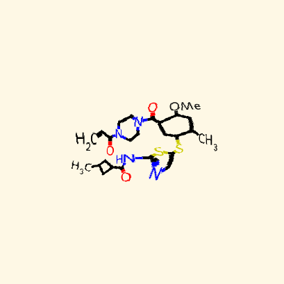 C=CC(=O)N1CCN(C(=O)C2CC(Sc3cnc(NC(=O)C4CC(C)C4)s3)C(C)CC2OC)CC1